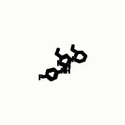 CCc1cc(N2CCCCC2CC)nc(Nc2ccc(F)cc2)n1